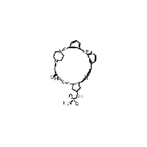 NS(=O)(=O)NC1CC2CCNC(=O)CN3CCN(CC3)Cc3cccc(c3)Nc3cc(ccn3)-c3cnc(nc3)N2C1